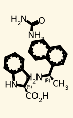 C[C@@H](N)c1cccc2ccccc12.NC(N)=O.O=C(O)[C@@H]1Cc2ccccc2N1